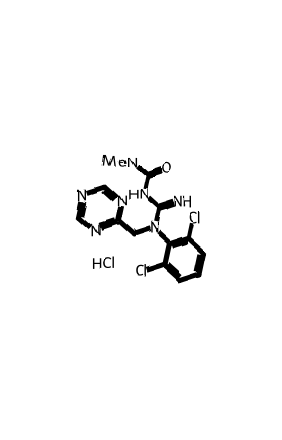 CNC(=O)NC(=N)N(Cc1ncncn1)c1c(Cl)cccc1Cl.Cl